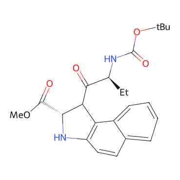 CC[C@H](NC(=O)OC(C)(C)C)C(=O)C1c2c(ccc3ccccc23)N[C@@H]1C(=O)OC